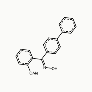 COc1ccccc1C(=NO)c1ccc(-c2ccccc2)cc1